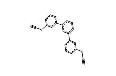 C#CSc1cccc(-c2cccc(-c3cccc(SC#C)c3)c2)c1